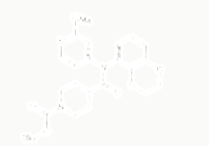 COc1cc(N(C(=O)C2CCN(C(=O)OC(C)(C)C)CC2)c2cccc3c2OCCO3)ccn1